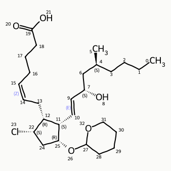 CCCC[C@H](C)C[C@H](O)/C=C/[C@H]1[C@@H](C/C=C\CCCC(=O)O)[C@@H](Cl)C[C@H]1OC1CCCCO1